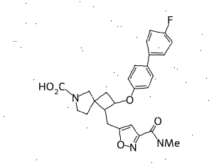 CNC(=O)c1cc(CC2C(Oc3ccc(-c4ccc(F)cc4)cc3)CC23CCN(C(=O)O)C3)on1